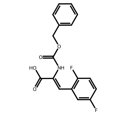 O=C(NC(=Cc1cc(F)ccc1F)C(=O)O)OCc1ccccc1